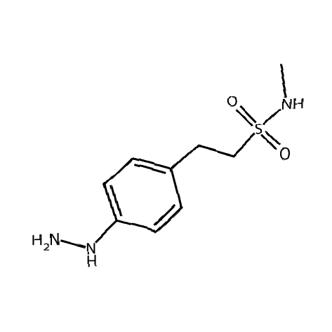 CNS(=O)(=O)CCc1ccc(NN)cc1